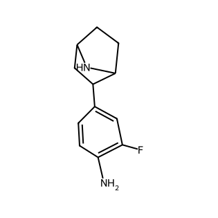 Nc1ccc(C2CC3CCC2N3)cc1F